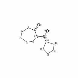 O=C1CCCCCN1[S+]([O-])C1CCCC1